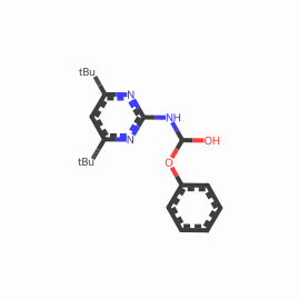 CC(C)(C)c1cc(C(C)(C)C)nc(NC(O)Oc2ccccc2)n1